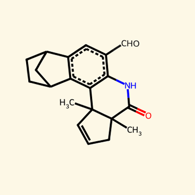 CC12CC=CC1(C)c1c(c(C=O)cc3c1C1CCC3C1)NC2=O